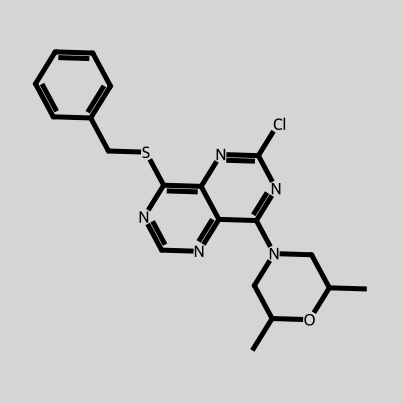 CC1CN(c2nc(Cl)nc3c(SCc4ccccc4)ncnc23)CC(C)O1